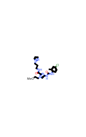 COCCn1cc(NC(=O)Nc2ccc(Cl)cc2C)nc1C(=O)NCCCn1cccn1